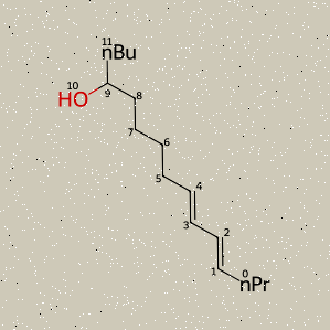 CCCC=CC=CCCCCC(O)CCCC